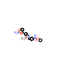 COc1cc(C(=O)c2ccccc2S(N)(=O)=O)ccc1Cn1ccc2ccc(NC(=O)OC3CCCC3)cc21